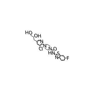 C[C@@H]1CN(c2ncc(C[C@@H](O)CO)cc2Cl)CCN1C(=O)Nc1nc2ccc(F)cc2s1